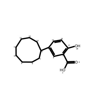 O=C(O)c1cc(C2CCCCCCCC2)ccc1O